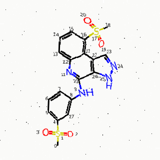 CS(=O)(=O)c1cccc(Nc2nc3cccc(S(C)(=O)=O)c3c3cn[nH]c23)c1